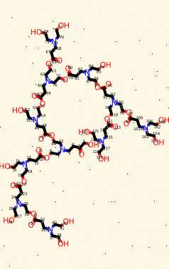 O=C(CO)CCN(CCOC(=O)CCN(CCO)CCOC(=O)CCN(CCO)CCOC(=O)CCN(CCO)CCO)CCOC(=O)CCN(CCO)CCOC(=O)CCN(CCOC(=O)CCN(CCO)CCO)CCOC(=O)CCN(CCO)CCOC(=O)CCN(CCOC(=O)CCN(CCO)CCO)CCOC(=O)CCN(CCO)CCO